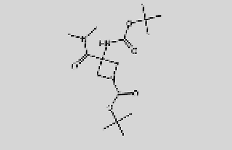 CN(C)C(=O)C1(NC(=O)OC(C)(C)C)CN(C(=O)OC(C)(C)C)C1